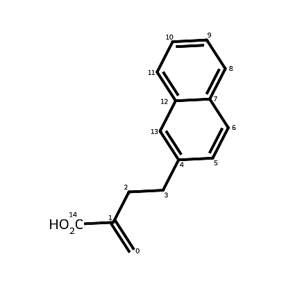 C=C(CCc1ccc2ccccc2c1)C(=O)O